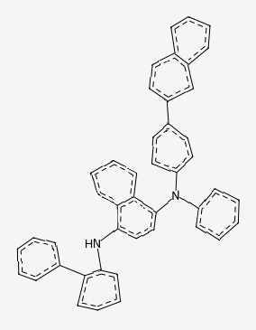 c1ccc(-c2ccccc2Nc2ccc(N(c3ccccc3)c3ccc(-c4ccc5ccccc5c4)cc3)c3ccccc23)cc1